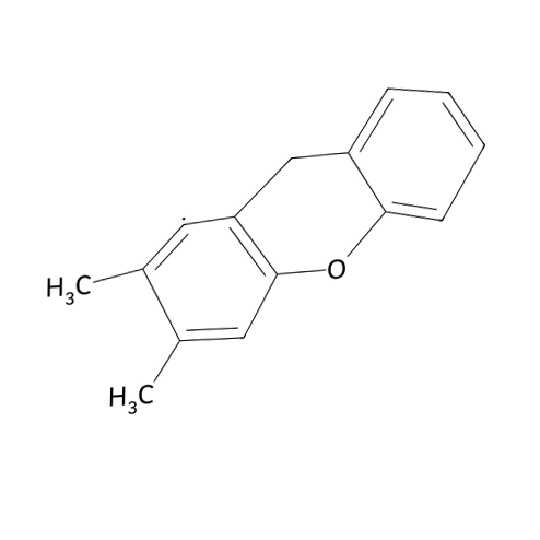 Cc1[c]c2c(cc1C)Oc1ccccc1C2